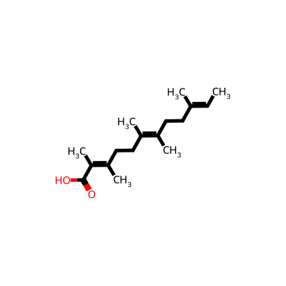 C/C=C(\C)CC/C(C)=C(\C)CC/C(C)=C(\C)C(=O)O